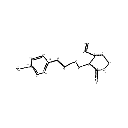 C=CC1CCOC(=O)C1CCCCc1ccc(C#N)cc1